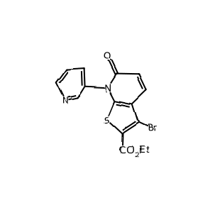 CCOC(=O)c1sc2c(ccc(=O)n2-c2cccnc2)c1Br